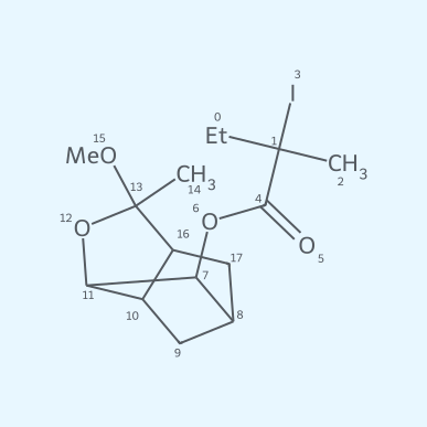 CCC(C)(I)C(=O)OC1C2CC3C1OC(C)(OC)C3C2